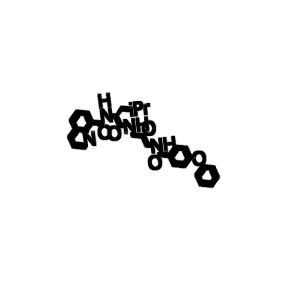 CC(C)C[C@H](NC(=O)c1cccc2cccnc12)C(=O)NCC(=O)CNC(=O)c1ccc(Oc2ccccc2)cc1